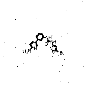 CC(C)(C)c1cc(NC(=O)Nc2cccc(-c3ccc(N)nc3)c2)no1